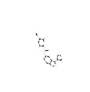 Cc1cc(C#N)c(C)nc1C(=O)Nc1ccc2[nH]nc(-c3ccoc3)c2c1